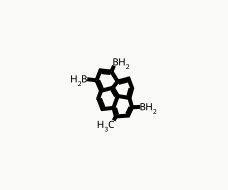 Bc1cc(B)c2ccc3c(C)cc(B)c4ccc1c2c43